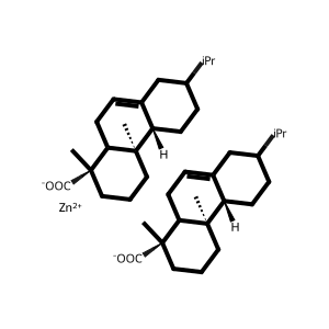 CC(C)C1CC[C@H]2C(=CCC3[C@](C)(C(=O)[O-])CCC[C@@]32C)C1.CC(C)C1CC[C@H]2C(=CCC3[C@](C)(C(=O)[O-])CCC[C@@]32C)C1.[Zn+2]